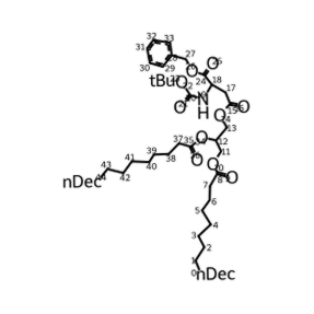 CCCCCCCCCCCCCCCCCC(=O)OCC(COC(=O)CC(NC(=O)OC(C)(C)C)C(=O)OCc1ccccc1)OC(=O)CCCCCCCCCCCCCCCCC